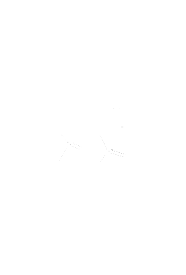 O=[N+]([O-])[O-].O=[N+]([O-])[O-].[CaH2].[Pb+2]